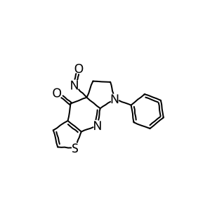 O=NC12CCN(C3=CC=C=C=C3)C1=Nc1sccc1C2=O